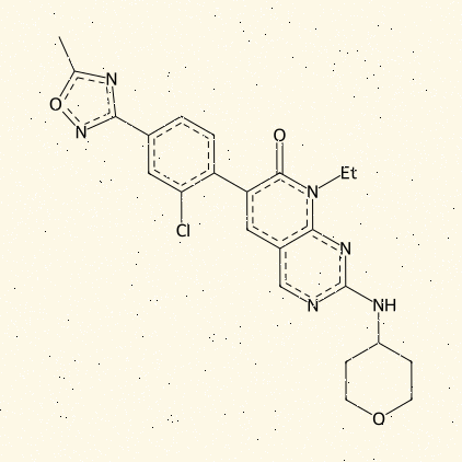 CCn1c(=O)c(-c2ccc(-c3noc(C)n3)cc2Cl)cc2cnc(NC3CCOCC3)nc21